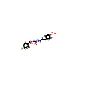 O=C(COCc1ccc(F)cc1)NCCCc1ccc(O)cc1